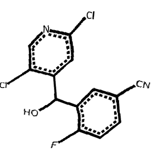 N#Cc1ccc(F)c(C(O)c2cc(Cl)ncc2Cl)c1